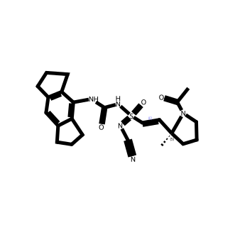 CC(=O)N1CCC[C@@]1(C)/C=C/S(=O)(=NC#N)NC(=O)Nc1c2c(cc3c1CCC3)CCC2